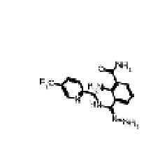 N/N=C(/NCc1ccc(C(F)(F)F)cn1)c1cccc(C(N)=O)c1N